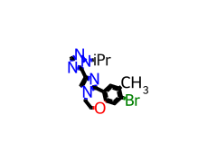 Cc1cc2c(cc1Br)OCCn1cc(-c3ncnn3C(C)C)nc1-2